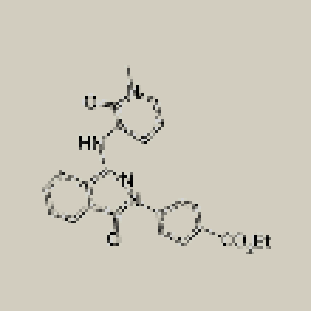 CCOC(=O)c1ccc(-n2nc(Nc3cccn(C)c3=O)c3ccccc3c2=O)cc1